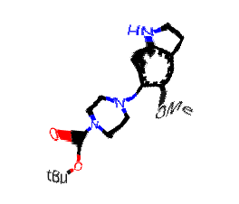 COc1cc2c(cc1N1CCN(C(=O)OC(C)(C)C)CC1)NCC2